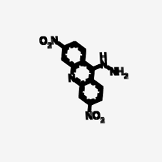 NNc1c2ccc([N+](=O)[O-])cc2nc2cc([N+](=O)[O-])ccc12